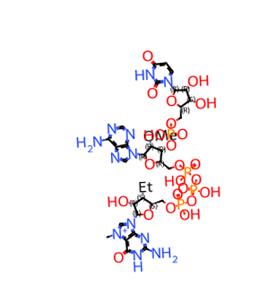 CC[C@H]1[C@@H](O)[C@H](n2c[n+](C)c3c(=O)[nH]c(N)nc32)O[C@@H]1COP(=O)(O)OP(=O)(O)OP(=O)(O)OC[C@H]1O[C@@H](n2cnc3c(N)ncnc32)[C@H](OC)[C@@H]1OP(=O)(O)OC[C@H]1O[C@@H](n2ccc(=O)[nH]c2=O)[C@H](O)[C@@H]1O